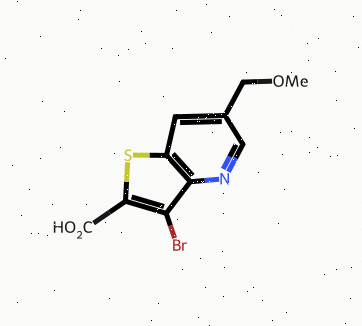 COCc1cnc2c(Br)c(C(=O)O)sc2c1